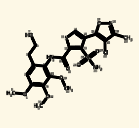 COc1cc(CCO)c(NC(=O)c2scc(-c3onc(C)c3Cl)c2S(N)(=O)=O)c(OC)c1OC